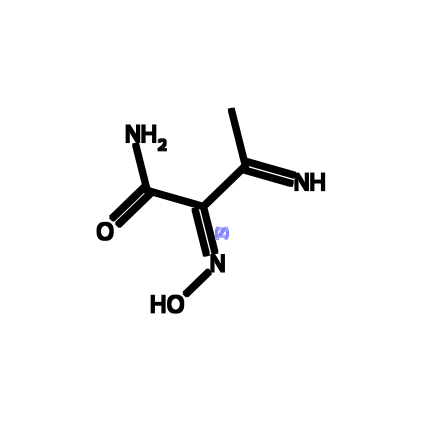 CC(=N)/C(=N/O)C(N)=O